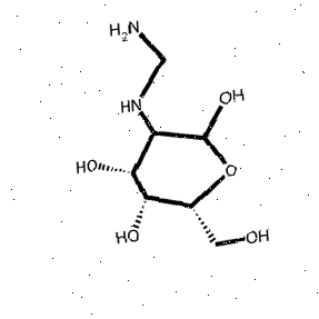 NCNC1C(O)O[C@H](CO)[C@H](O)[C@@H]1O